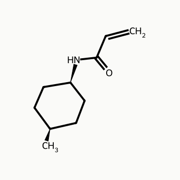 C=CC(=O)N[C@H]1CC[C@@H](C)CC1